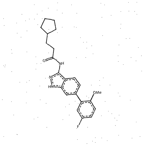 COc1ccc(F)cc1-c1ccc2c(NC(=O)CCC3CCCC3)n[nH]c2c1